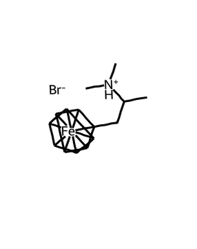 CC(C[C]12[CH]3[CH]4[CH]5[CH]1[Fe]45321678[CH]2[CH]1[CH]6[CH]7[CH]28)[NH+](C)C.[Br-]